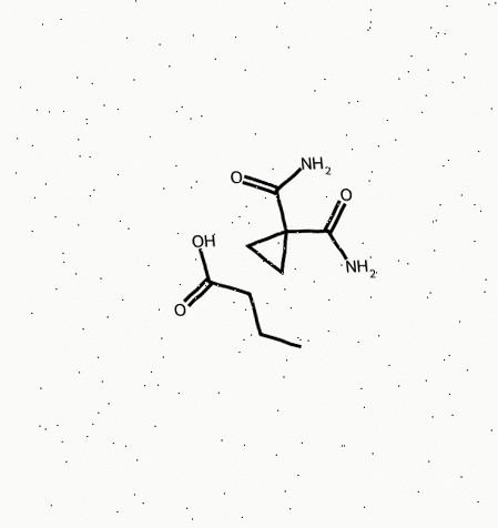 CCCC(=O)O.NC(=O)C1(C(N)=O)CC1